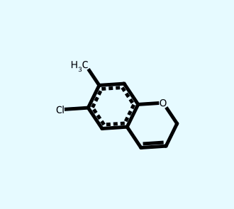 Cc1cc2c(cc1Cl)C=CCO2